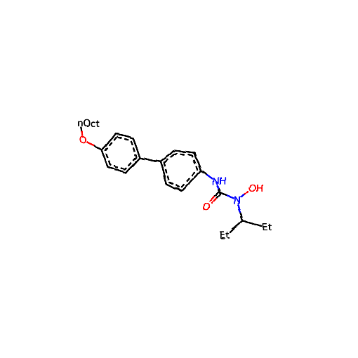 CCCCCCCCOc1ccc(-c2ccc(NC(=O)N(O)C(CC)CC)cc2)cc1